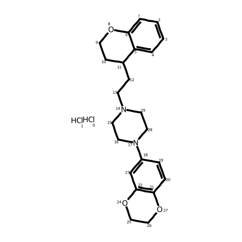 Cl.Cl.c1ccc2c(c1)OCCC2CCN1CCN(c2ccc3c(c2)OCCO3)CC1